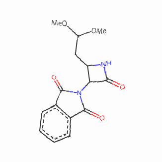 COC(CC1NC(=O)C1N1C(=O)c2ccccc2C1=O)OC